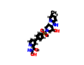 Cc1ccc(N[C@@H]2CCN(S(=O)(=O)c3ccc(-c4ccnc(C(=O)NO)c4)cc3)C[C@@H]2O)nc1